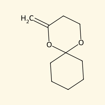 C=C1CCOC2(CCCCC2)O1